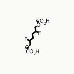 O=C(O)OCC(F)CCC(F)COC(=O)O